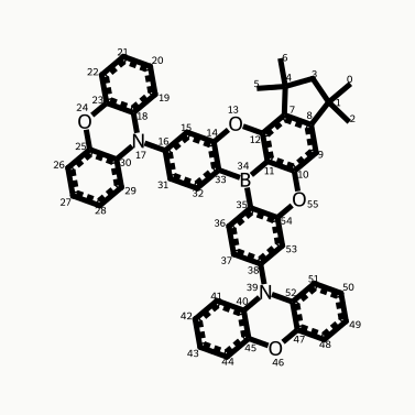 CC1(C)CC(C)(C)c2c1cc1c3c2Oc2cc(N4c5ccccc5Oc5ccccc54)ccc2B3c2ccc(N3c4ccccc4Oc4ccccc43)cc2O1